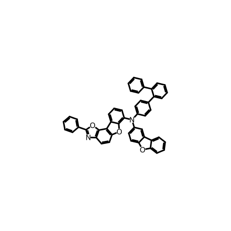 c1ccc(-c2nc3ccc4oc5c(N(c6ccc(-c7ccccc7-c7ccccc7)cc6)c6ccc7oc8ccccc8c7c6)cccc5c4c3o2)cc1